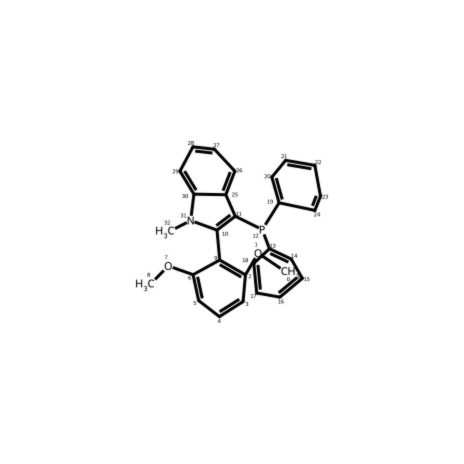 COc1cccc(OC)c1-c1c(P(c2ccccc2)c2ccccc2)c2ccccc2n1C